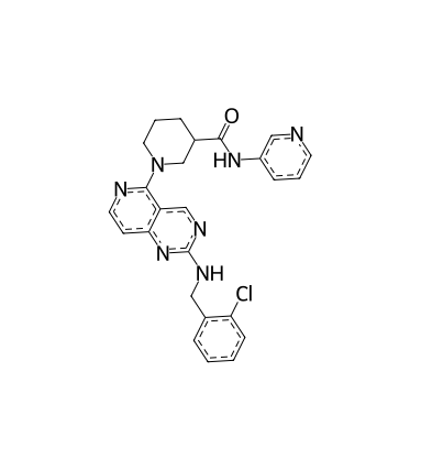 O=C(Nc1cccnc1)C1CCCN(c2nccc3nc(NCc4ccccc4Cl)ncc23)C1